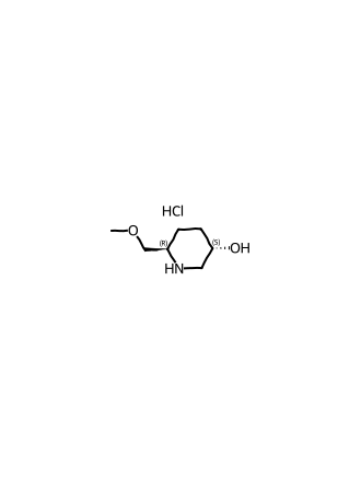 COC[C@H]1CC[C@H](O)CN1.Cl